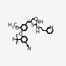 COc1cc(/C=C(/C=O)SC(=N)NCCc2cccnc2)ccc1Oc1ccc(C#N)cc1C(F)(F)F